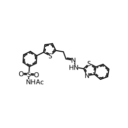 CC(=O)NS(=O)(=O)c1cccc(-c2ccc(CC=NNc3nc4ccccc4s3)s2)c1